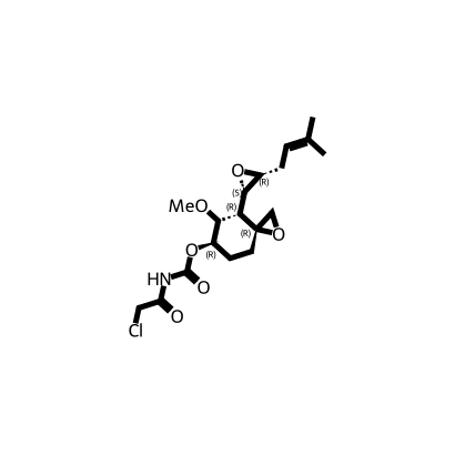 COC1[C@H]([C@@H]2O[C@@H]2CC=C(C)C)[C@]2(CC[C@H]1OC(=O)NC(=O)CCl)CO2